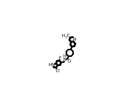 Cc1cnc2ccc(C3CCCC(C(=O)NCc4cc5c(Cl)c[nH]c5cc4F)CCC3)cc2c1